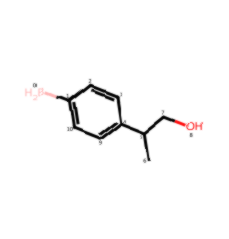 Bc1ccc(C(C)CO)cc1